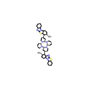 CC(C)(C)c1ccc2c(nc3sc4ccccc4n32)c1C1=CB2N(C=C1)B1C=CC=CN1B1C=C(c3c(C(C)(C)C)ccc4c3sc3nc5ccccc5n34)C=CN1B1C=CC=CN12